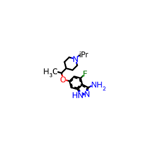 CC(Oc1cc(F)c2c(N)n[nH]c2c1)C1CCN(C(C)C)CC1